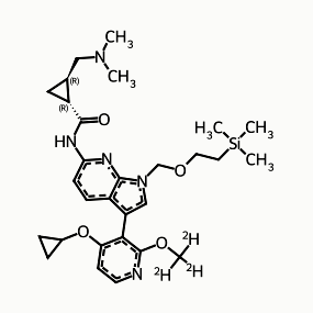 [2H]C([2H])([2H])Oc1nccc(OC2CC2)c1-c1cn(COCC[Si](C)(C)C)c2nc(NC(=O)[C@@H]3C[C@H]3CN(C)C)ccc12